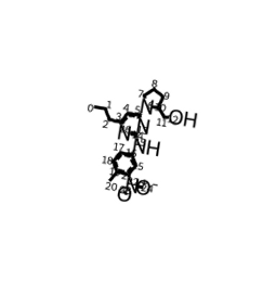 CCCc1cc(N2CCCC2CO)nc(Nc2ccc(C)c([N+](=O)[O-])c2)n1